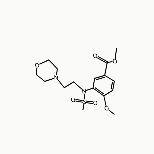 COC(=O)c1ccc(OC)c(N(CCN2CCOCC2)S(C)(=O)=O)c1